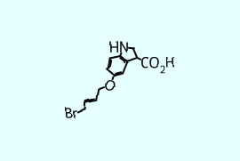 O=C(O)C1CNc2ccc(OCC=CCBr)cc21